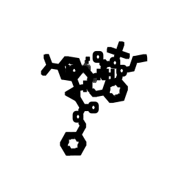 C=CCOc1cccc(CN([C@H](NC(=O)OC(C)(C)C)[C@@H](C)O)C2(c3cccc(C(C)C)c3)CC2C(=O)OCc2ccccc2)c1